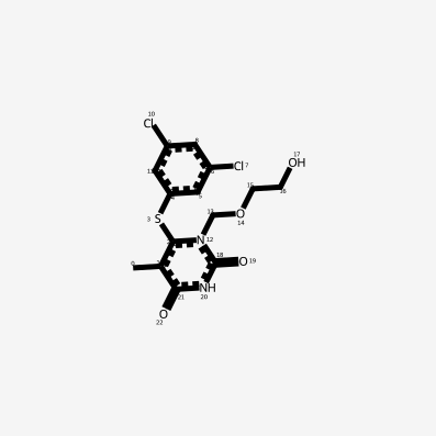 Cc1c(Sc2cc(Cl)cc(Cl)c2)n(COCCO)c(=O)[nH]c1=O